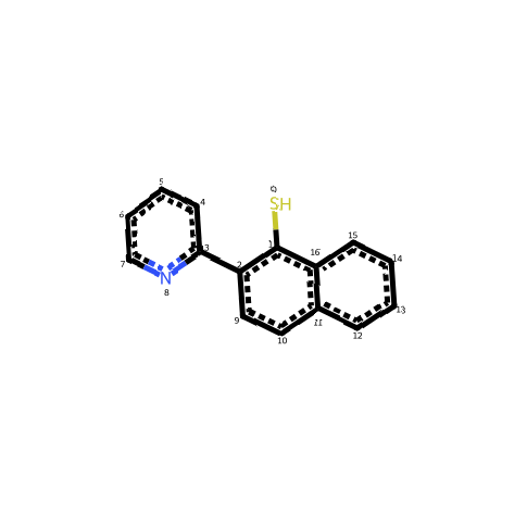 Sc1c(-c2ccccn2)ccc2ccccc12